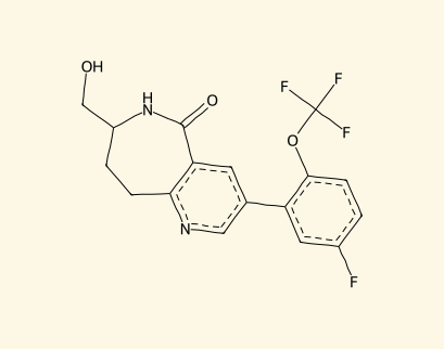 O=C1NC(CO)CCc2ncc(-c3cc(F)ccc3OC(F)(F)F)cc21